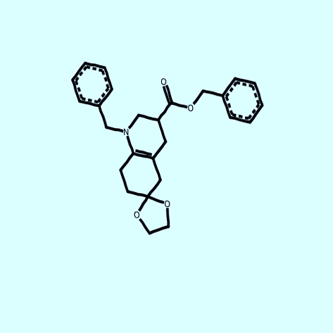 O=C(OCc1ccccc1)C1CC2=C(CCC3(C2)OCCO3)N(Cc2ccccc2)C1